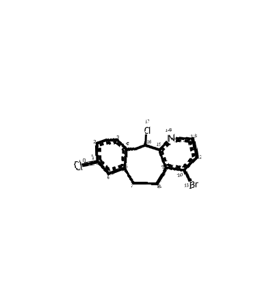 Clc1ccc2c(c1)CCc1c(Br)ccnc1C2Cl